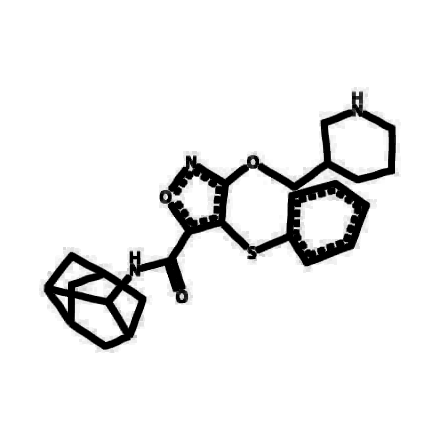 O=C(NC1C2CC3CC(C2)C1C3)c1onc(OCC2CCCNC2)c1Sc1ccccc1